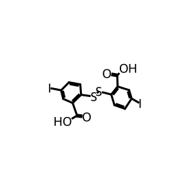 O=C(O)c1cc(I)ccc1SSc1ccc(I)cc1C(=O)O